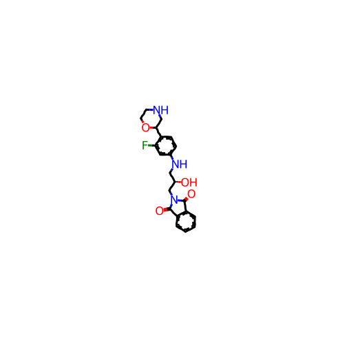 O=C1c2ccccc2C(=O)N1C[C@H](O)CNc1ccc(C2CNCCO2)c(F)c1